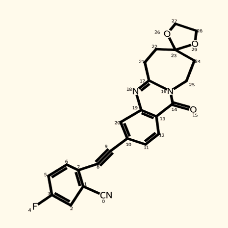 N#Cc1cc(F)ccc1C#Cc1ccc2c(=O)n3c(nc2c1)CCC1(CC3)OCCO1